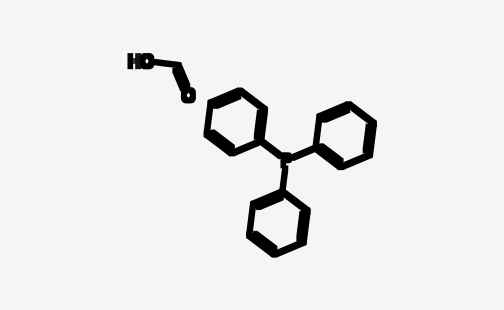 O=CO.c1ccc(P(c2ccccc2)c2ccccc2)cc1